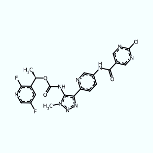 C[C@@H](OC(=O)Nc1c(-c2ccc(NC(=O)c3cnc(Cl)nc3)cn2)nnn1C)c1cc(F)cnc1F